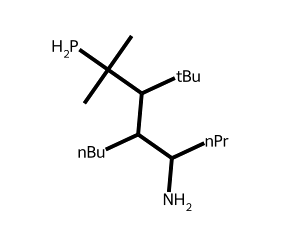 CCCCC(C(N)CCC)C(C(C)(C)C)C(C)(C)P